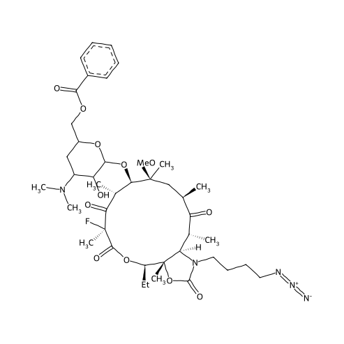 CC[C@H]1OC(=O)[C@@](C)(F)C(=O)[C@H](C)[C@@H](OC2OC(COC(=O)c3ccccc3)CC(N(C)C)C2O)[C@@](C)(OC)C[C@@H](C)C(=O)[C@H](C)[C@H]2N(CCCCN=[N+]=[N-])C(=O)O[C@]12C